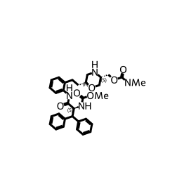 CNC(=O)OC[C@@H]1CO[C@H](CCc2ccccc2NC(=O)[C@@H](NC(=O)OC)C(c2ccccc2)c2ccccc2)CN1